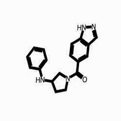 O=C(c1ccc2[nH]ncc2c1)N1CCC(Nc2ccccc2)C1